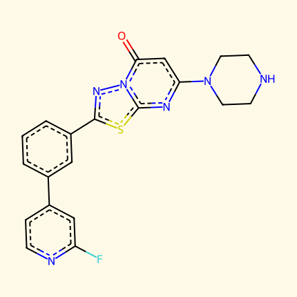 O=c1cc(N2CCNCC2)nc2sc(-c3cccc(-c4ccnc(F)c4)c3)nn12